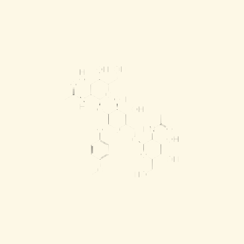 COc1ccc(O[C@H]2OC(CO[C@@H]3OC(CO)[C@@H](O)[C@@H](O)C3NC(C)=O)[C@@H](O)[C@H](O)C2O[C@@H]2OC(CO)[C@@H](O)[C@@H](O)C2NC(C)=O)cc1